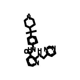 CN1CCC(C(C)(C)c2ccc(NC(=O)c3cccnc3NCc3ccncn3)cc2)CC1